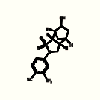 N#Cc1ccc(N2C[C@H]3[C@@H]4C[C@H]([C@H]3S2(=O)=O)[C@@H](O)C4)cc1C(F)(F)F